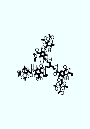 C=CCN(C)C(=O)c1c(I)c(NC(=O)C(OC(C)=O)C(COC(C)=O)OC(C)=O)c(I)c(C(=O)NCCC(CCNC(=O)c2c(I)c(NC(=O)C(OC(C)=O)C(COC(C)=O)OC(C)=O)c(I)c(C(=O)N(C)CC=C)c2I)CCNC(=O)c2c(I)c(NC(=O)C(OC(C)=O)C(COC(C)=O)OC(C)=O)c(I)c(C(=O)N(C)CC=C)c2I)c1I